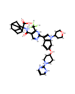 O=C(NC1(C(=O)O)C2CC3CC(C2)CC1C3)c1cnc(-c2cn(C3CCOCC3)c3cc(OC4CCN(c5ncccn5)CC4)ccc23)nc1C(F)(F)F